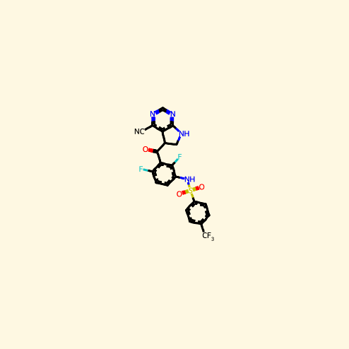 N#Cc1ncnc2c1C(C(=O)c1c(F)ccc(NS(=O)(=O)c3ccc(C(F)(F)F)cc3)c1F)CN2